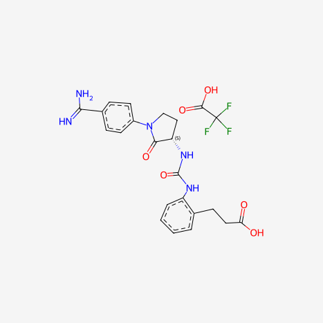 N=C(N)c1ccc(N2CC[C@H](NC(=O)Nc3ccccc3CCC(=O)O)C2=O)cc1.O=C(O)C(F)(F)F